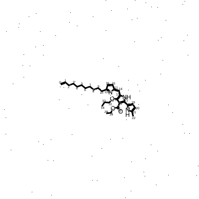 C=CCCCCCCCCCC1=NC(=Cc2[nH]c(-c3ccc(C)[nH]3)c(C(=O)OCC)c2OCCC)C=C1